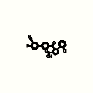 N#Cc1cc(-c2ccc(C(=O)N3[C@@H](c4ccccc4Cl)CC[C@H]3C(=O)O)cc2)ccc1F